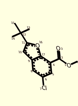 COC(=O)c1cc(Cl)cc2cc(C(C)(C)C)oc12